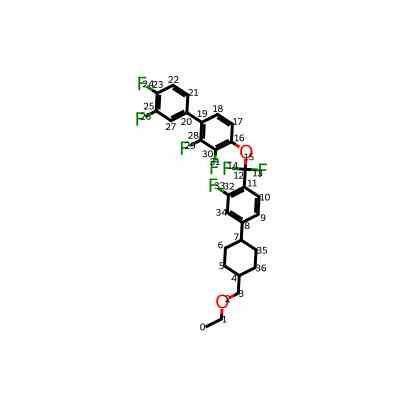 CCOCC1CCC(c2ccc(C(F)(F)Oc3ccc(-c4ccc(F)c(F)c4)c(F)c3F)c(F)c2)CC1